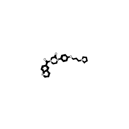 O=C(c1ccc2ncccc2c1)N1CCN(c2ccc(OCCCN3CCCC3)cc2)C(=O)C1